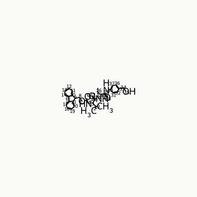 CC(C)[C@H](NC(=O)OCC1c2ccccc2-c2ccccc21)C(=O)N[C@@H](I)C(=O)Nc1ccc(CO)cc1